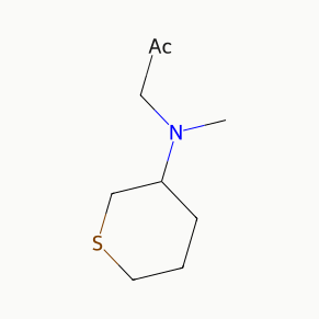 CC(=O)CN(C)C1CCCSC1